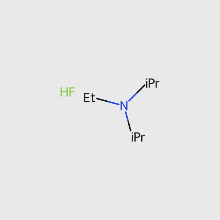 CCN(C(C)C)C(C)C.F